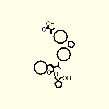 C1CCCC1.C1CCCCCCCCC1.C1CCCCCCCCC1.C=C(C)C(=O)O.CC(C)C(=CC1CCCCCCCCC1)C(=O)OCC1(CO)CCCC1